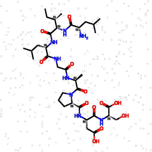 CC[C@H](C)[C@H](NC(=O)[C@@H](N)CC(C)C)C(=O)N[C@@H](CC(C)C)C(=O)NCC(=O)N[C@@H](C)C(=O)N1CCC[C@H]1C(=O)N[C@@H](CC(=O)O)C(=O)N[C@@H](CO)C(=O)O